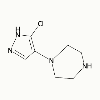 Clc1[nH]ncc1N1CCNCC1